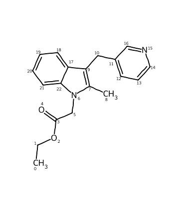 CCOC(=O)Cn1c(C)c(Cc2cccnc2)c2ccccc21